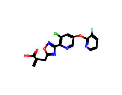 C=C(Cc1nc(-c2ncc(Oc3ncccc3F)cc2Cl)no1)C(=O)O